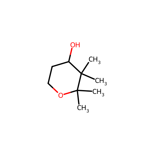 CC1(C)OCCC(O)C1(C)C